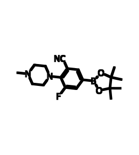 CN1CCN(c2c(F)cc(B3OC(C)(C)C(C)(C)O3)cc2C#N)CC1